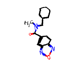 CN(CC1CCCCC1)C(=O)c1ccc2nonc2c1